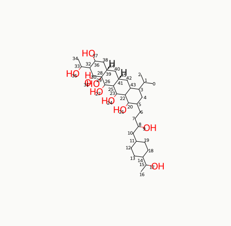 CC(C)C1CC(CCC(O)CC2CCC(C(C)O)CC2)C(O)C2C(O)C3C(O)[C@]4(O)C(O)C(C(C)O)C(O)C[C@@H]4C[C@@H]3CC12